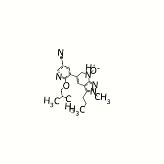 CCCc1c2c(nn1C)[NH+]([O-])CC(c1cc(C#N)cnc1OCC(C)C)=C2